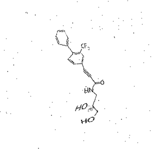 O=C(C#Cc1ccc(-c2ccccc2)c(C(F)(F)F)c1)NC[C@@H](O)CO